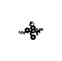 C[C@](O)(C(=O)NCC(Cc1ccccc1)(c1cccc(OC(F)(F)F)c1)c1cccc(OC(F)(F)F)c1)C(F)(F)F